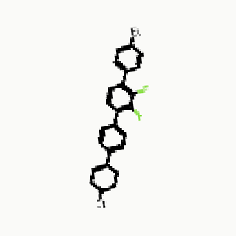 CCc1ccc(-c2ccc(-c3ccc(C4=CCC(CC)CC4)cc3)c(F)c2F)cc1